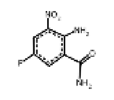 NC(=O)c1cc(F)cc([N+](=O)[O-])c1N